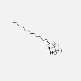 [2H]C([2H])(CSCCCCCCCCCCCC)C(=O)O